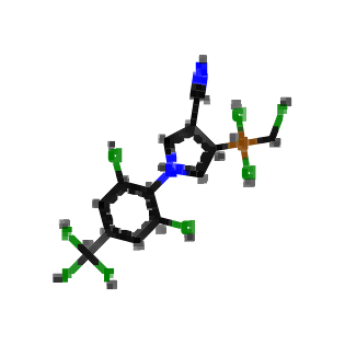 N#Cc1cn(-c2c(Cl)cc(C(F)(F)F)cc2Cl)cc1S(Cl)(Cl)CF